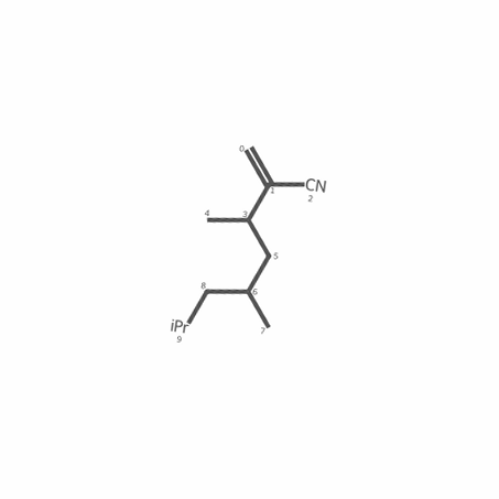 C=C(C#N)C(C)CC(C)CC(C)C